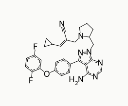 N#CC(=CC1CC1)CN1CCCC1Cn1nc(-c2ccc(Oc3cc(F)ccc3F)cc2)c2c(N)ncnc21